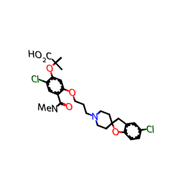 CNC(=O)c1cc(Cl)c(OC(C)(C)C(=O)O)cc1OCCCN1CCC2(CC1)Cc1cc(Cl)ccc1O2